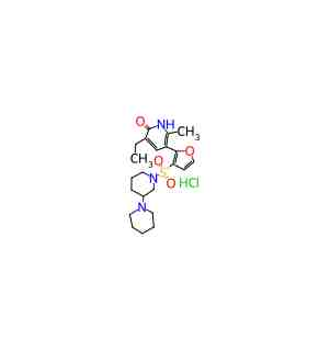 CCc1cc(-c2occc2S(=O)(=O)N2CCCC(N3CCCCC3)C2)c(C)[nH]c1=O.Cl